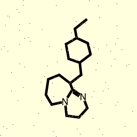 CCC1CCC(CC2CCCCN3CCCN=C23)CC1